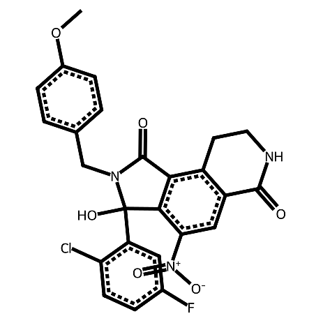 COc1ccc(CN2C(=O)c3c4c(cc([N+](=O)[O-])c3C2(O)c2cc(F)ccc2Cl)C(=O)NCC4)cc1